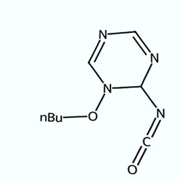 CCCCON1C=NC=NC1N=C=O